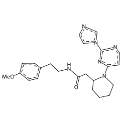 COc1ccc(CCNC(=O)CC2CCCCN2c2ccnc(-n3ccnc3)n2)cc1